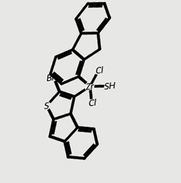 [SH][Zr]([Cl])([Cl])([C]1=C(Br)SC2=Cc3ccccc3C21)[c]1cccc2c1Cc1ccccc1-2